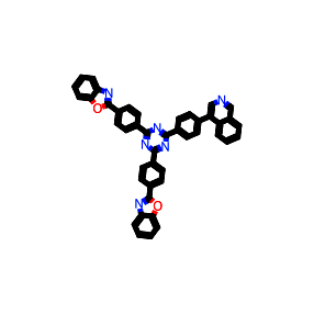 c1ccc2c(-c3ccc(-c4nc(-c5ccc(-c6nc7ccccc7o6)cc5)nc(-c5ccc(-c6nc7ccccc7o6)cc5)n4)cc3)cncc2c1